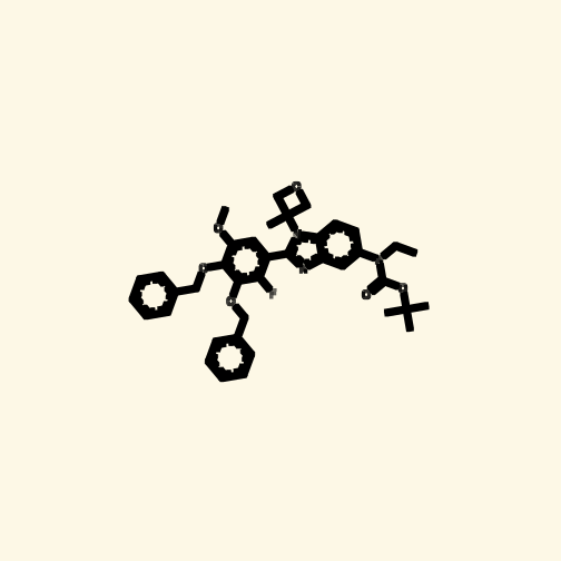 CCN(C(=O)OC(C)(C)C)c1ccc2c(c1)nc(-c1cc(OC)c(OCc3ccccc3)c(OCc3ccccc3)c1F)n2C1(C)COC1